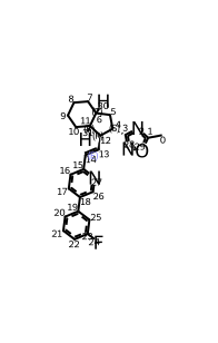 Cc1nc([C@H]2C[C@H]3CCCC[C@H]3[C@@H]2/C=C/c2ccc(-c3cccc(F)c3)cn2)no1